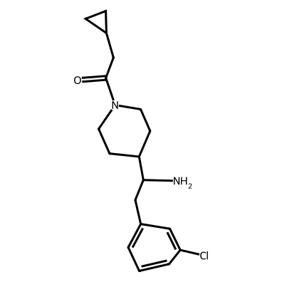 NC(Cc1cccc(Cl)c1)C1CCN(C(=O)CC2CC2)CC1